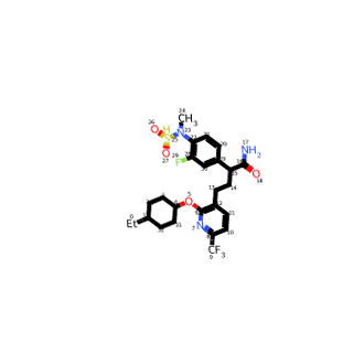 CCC1CCC(Oc2nc(C(F)(F)F)ccc2CCC(C(N)=O)c2ccc(N(C)[SH](=O)=O)c(F)c2)CC1